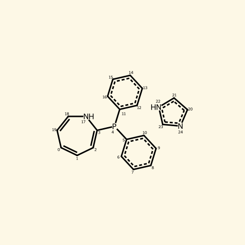 C1=CC=C(P(c2ccccc2)c2ccccc2)NC=C1.c1c[nH]cn1